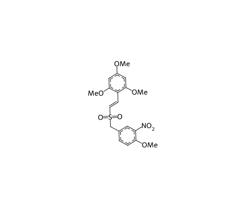 COc1cc(OC)c(C=CS(=O)(=O)Cc2ccc(OC)c([N+](=O)[O-])c2)c(OC)c1